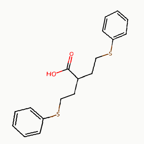 O=C(O)C(CCSc1ccccc1)CCSc1ccccc1